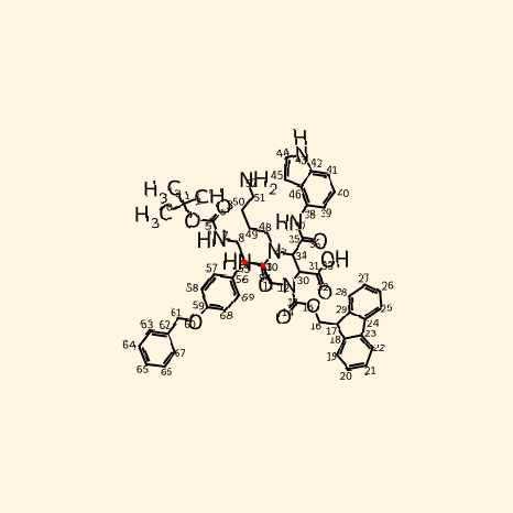 CC(C)(C)OC(=O)NCCCCN(C(=O)OCC1c2ccccc2-c2ccccc21)C(C(=O)O)C(C(=O)Nc1cccc2[nH]ccc12)N(CCCCN)C(=O)Nc1ccc(OCc2ccccc2)cc1